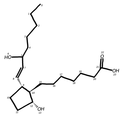 CCCCCC(O)C=C[C@H]1CC[C@@H](O)[C@@H]1CCCCCCC(=O)O